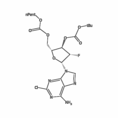 CCCCCOC(=O)OC[C@H]1O[C@@H](n2cnc3c(N)nc(Cl)nc32)[C@@H](F)[C@@H]1OC(=O)OC(C)(C)C